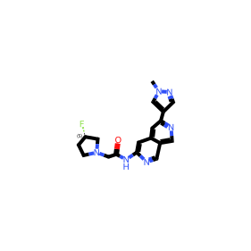 Cn1cc(-c2cc3cc(NC(=O)CN4CC[C@H](F)C4)ncc3cn2)cn1